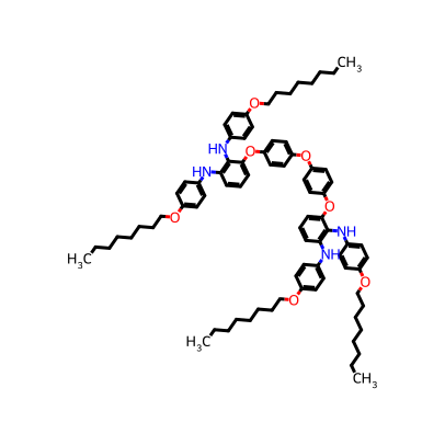 CCCCCCCCOc1ccc(Nc2cccc(Oc3ccc(Oc4ccc(Oc5cccc(Nc6ccc(OCCCCCCCC)cc6)c5Nc5ccc(OCCCCCCCC)cc5)cc4)cc3)c2Nc2ccc(OCCCCCCCC)cc2)cc1